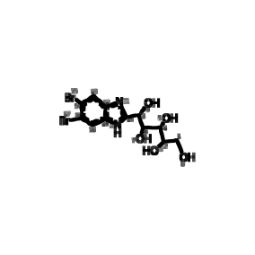 OCC(O)[C@H](O)C(O)[C@H](O)c1nc2cc(Br)c(Br)cc2[nH]1